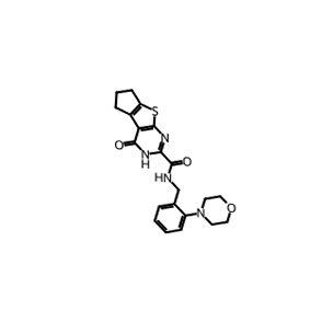 O=C(NCc1ccccc1N1CCOCC1)c1nc2sc3c(c2c(=O)[nH]1)CCC3